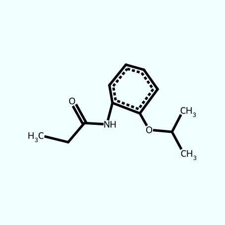 CCC(=O)Nc1ccccc1OC(C)C